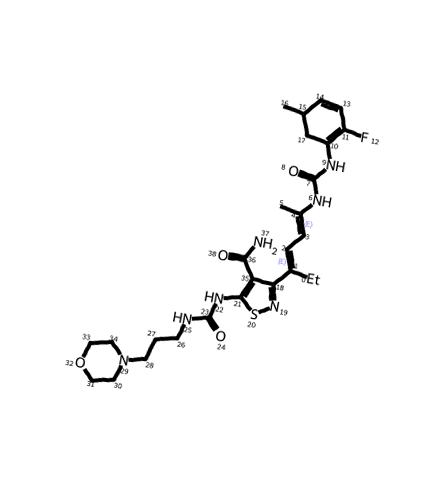 CC/C(=C\C=C(/C)NC(=O)NC1=C(F)C=CC(C)C1)c1nsc(NC(=O)NCCCN2CCOCC2)c1C(N)=O